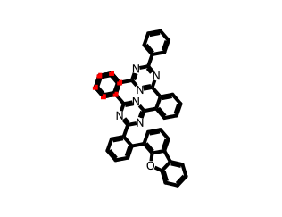 c1ccc(-c2nc(-c3ccccc3)nc(-c3ccccc3-c3nc(-c4ccccc4)nc(-c4ccccc4-c4cccc5c4oc4ccccc45)n3)n2)cc1